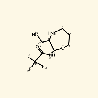 O=C(N[C@@H]1CCCCN[C@@H]1CO)C(F)(F)F